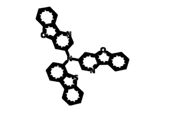 c1ccc2c(c1)oc1cc(N(c3cnc4c(c3)oc3ccccc34)c3cccc4c3sc3ccccc34)cnc12